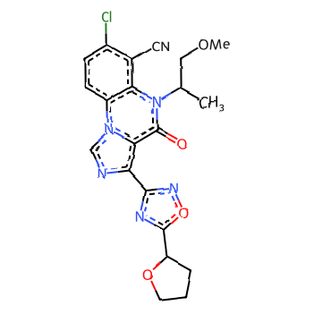 COCC(C)n1c(=O)c2c(-c3noc(C4CCCO4)n3)ncn2c2ccc(Cl)c(C#N)c21